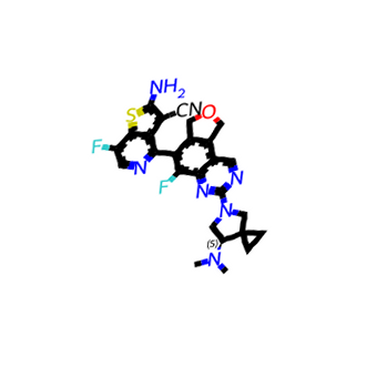 CN(C)[C@@H]1CN(c2ncc3c4c(c(-c5ncc(F)c6sc(N)c(C#N)c56)c(F)c3n2)COC4)CC12CC2